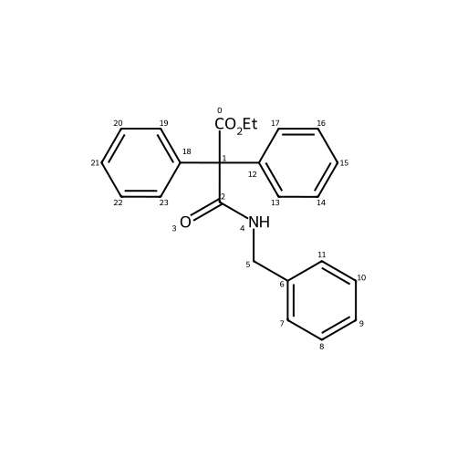 CCOC(=O)C(C(=O)NCc1ccccc1)(c1ccccc1)c1ccccc1